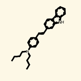 CCCCN(CCCC)c1ccc(C=Cc2ccc3c(c2)[nH]c2ccccc23)cc1